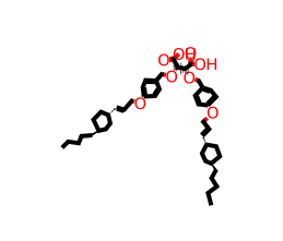 CCCCC[C@H]1CC[C@H](C=CCOc2ccc(CO[C@@H](C(=O)O)[C@@H](OCc3ccc(OCC=C[C@H]4CC[C@H](CCCCC)CC4)cc3)C(=O)O)cc2)CC1